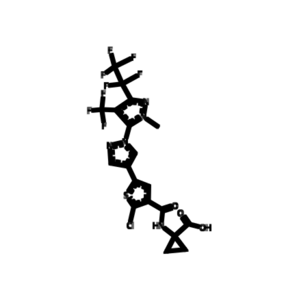 Cn1nc(C(F)(F)C(F)(F)F)c(C(F)(F)F)c1-n1cc(-c2cc(C(=O)NC3(C(=O)O)CC3)c(Cl)s2)cn1